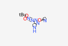 CN1CCC[C@@H]1COc1nc2c(c(N3CCN(C(=O)OC(C)(C)C)CC3)n1)CCNC2